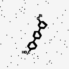 CCOc1cccc(-c2ccc(-c3ccc(C(=O)O)cc3)cc2)c1